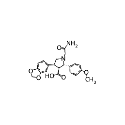 COc1ccc([C@@H]2[C@@H](C(=O)O)[C@@H](c3ccc4c(c3)OCO4)CN2CC(N)=O)cc1